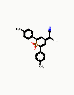 CC(C#N)=C1C=C(c2ccc(C)cc2)S(=O)(=O)C(c2ccc(C)cc2)=C1